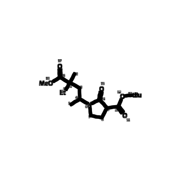 CCC(C)(CC(C)N1CCC(C(=O)OC(C)(C)C)C1=O)C(=O)OC